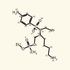 CCOP(C)(=O)OC[C@H](CCCCN)N(CC(C)C)S(=O)(=O)c1ccc(N)cc1